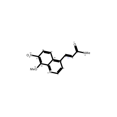 CNC(=O)/C=C/c1ccnc2c(OC)c([N+](=O)[O-])ccc12